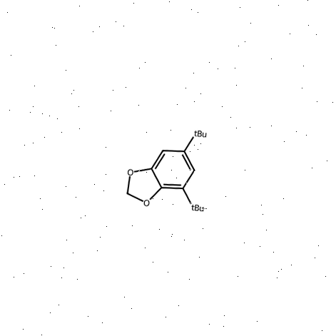 CC(C)(C)c1cc2c(c(C(C)(C)C)c1)OCO2